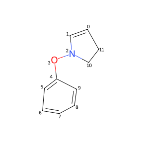 C1=CN(Oc2ccccc2)CC1